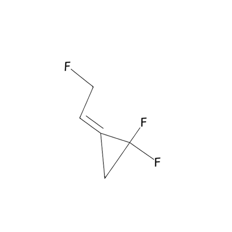 FCC=C1CC1(F)F